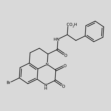 O=C(O)C(Cc1ccccc1)NC(=O)C1CCc2cc(Br)cc3[nH]c(=O)c(=O)n1c23